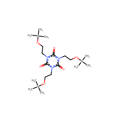 C[Si](C)(C)OCCn1c(=O)n(CCO[Si](C)(C)C)c(=O)n(CCO[Si](C)(C)C)c1=O